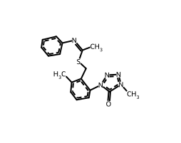 CC(=Nc1ccccc1)SCc1c(C)cccc1-n1nnn(C)c1=O